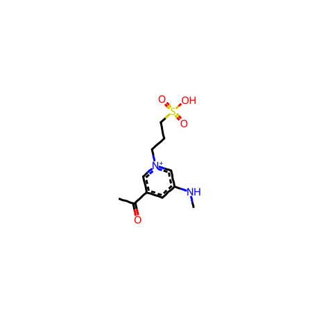 CNc1cc(C(C)=O)c[n+](CCCS(=O)(=O)O)c1